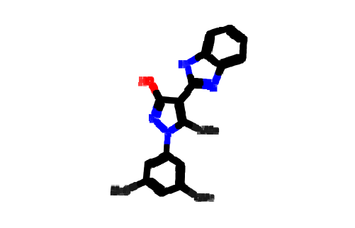 CNc1c(-c2nc3ccccc3[nH]2)c(O)nn1-c1cc(OC)cc(OC)c1